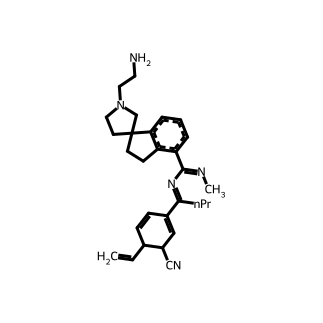 C=CC1C=CC(/C(CCC)=N/C(=N\C)c2cccc3c2CCC32CCN(CCN)C2)=CC1C#N